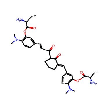 CC(C)C(N)C(=O)Oc1cc(C=CC(=O)C2CCCC(=Cc3ccc(N(C)C)c(OC(=O)C(N)C(C)C)c3)C2=O)ccc1N(C)C